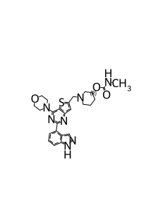 CNC(=O)O[C@@H]1CCCN(Cc2cc3nc(-c4cccc5[nH]ncc45)nc(N4CCOCC4)c3s2)C1